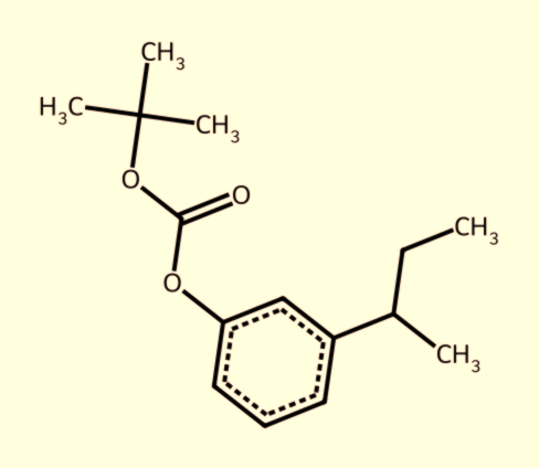 CCC(C)c1cccc(OC(=O)OC(C)(C)C)c1